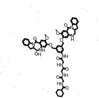 COc1cc2c(cc1OCc1cc(COc3cc4c(cc3OC)C(=O)N3c5ccccc5CC3[C@@H](O)N4)cc(NC(=O)CNC(=O)CNC(=O)CNC(=O)C3CCCCC3)c1)NCC1Cc3ccccc3N1C2=O